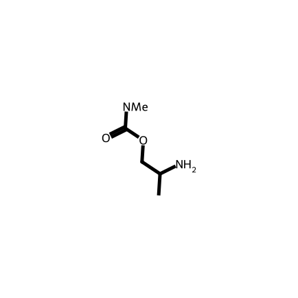 CNC(=O)OCC(C)N